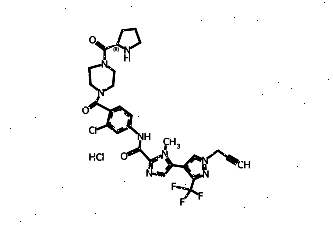 C#CCn1cc(-c2cnc(C(=O)Nc3ccc(C(=O)N4CCN(C(=O)[C@H]5CCCN5)CC4)c(Cl)c3)n2C)c(C(F)(F)F)n1.Cl